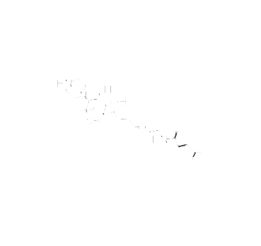 CC(=O)/C=C/C(=O)NCCOCCOC[C@@]12CO[C@@H](O1)[C@@H](N1CCNCC1)[C@@H](O)[C@H]2O